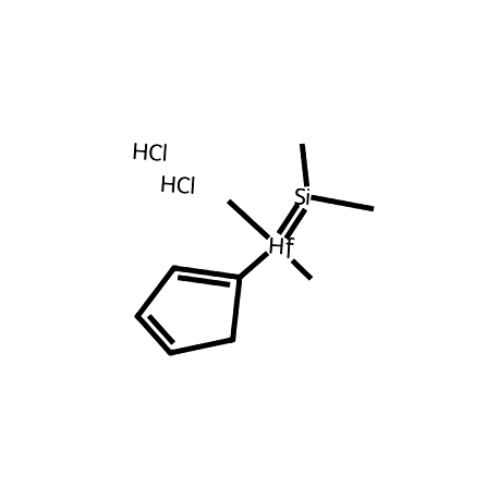 C[Si](C)=[Hf]([CH3])([CH3])[C]1=CC=CC1.Cl.Cl